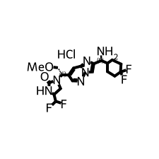 COC[C@H](c1cnn2cc([C@@H](N)C3CCC(F)(F)CC3)nc2c1)N1CC(C(F)F)NC1=O.Cl